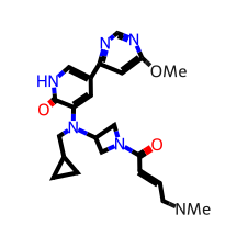 CNCC=CC(=O)N1CC(N(CC2CC2)c2cc(-c3cc(OC)ncn3)c[nH]c2=O)C1